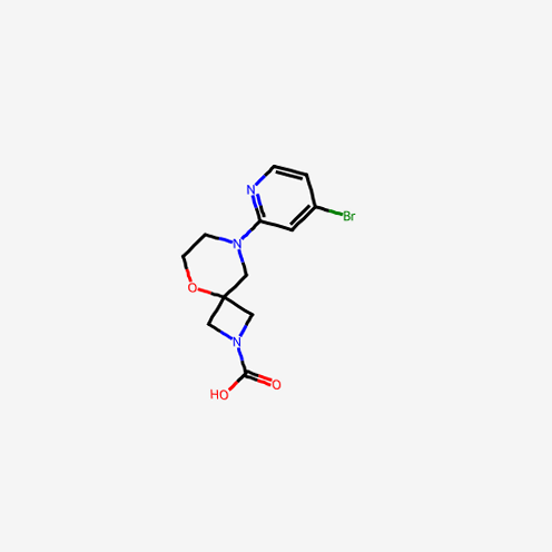 O=C(O)N1CC2(C1)CN(c1cc(Br)ccn1)CCO2